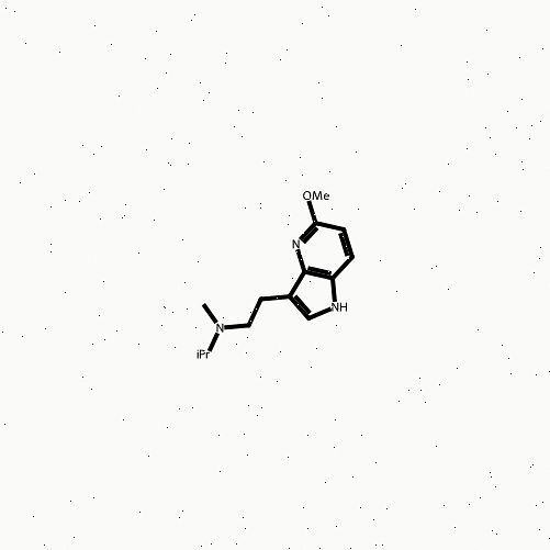 COc1ccc2[nH]cc(CCN(C)C(C)C)c2n1